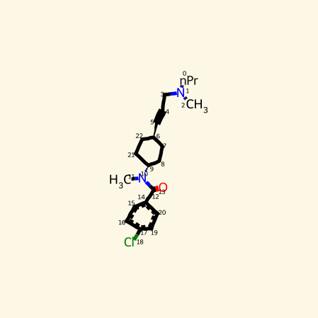 CCCN(C)CC#C[C@H]1CC[C@H](N(C)C(=O)c2ccc(Cl)cc2)CC1